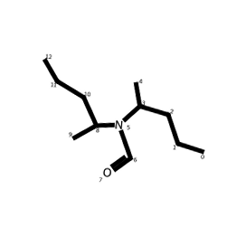 CCCC(C)N(C=O)C(C)CCC